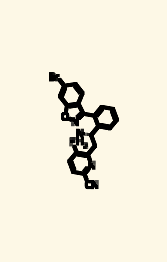 N#Cc1ccc(F)c(C[C@H](N)c2ccccc2-c2noc3cc(Br)ccc23)n1